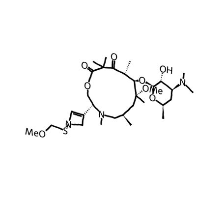 COCSN1C=C([C@@H]2COC(=O)C(C)(C)C(=O)[C@H](C)[C@@H](O[C@@H]3O[C@H](C)C[C@H](N(C)C)[C@H]3O)[C@](C)(OC)C[C@@H](C)CN2C)C1